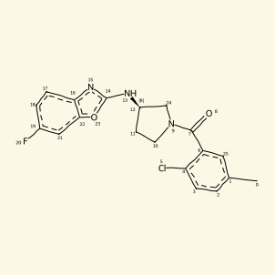 Cc1ccc(Cl)c(C(=O)N2CC[C@@H](Nc3nc4ccc(F)cc4o3)C2)c1